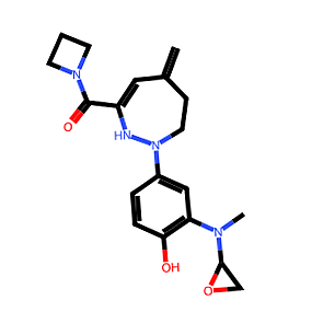 C=C1C=C(C(=O)N2CCC2)NN(c2ccc(O)c(N(C)C3CO3)c2)CC1